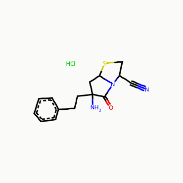 Cl.N#CC1CSC2CC(N)(CCc3ccccc3)C(=O)N12